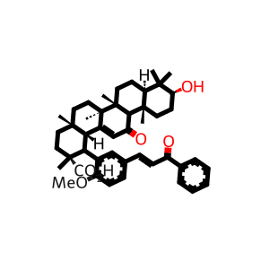 COc1ccc(/C=C/C(=O)c2ccccc2)cc1C1[C@H]2C3=CC(=O)C4[C@@]5(C)CC[C@H](O)C(C)(C)[C@@H]5CC[C@@]4(C)[C@]3(C)CC[C@@]2(C)CC[C@]1(C)C(=O)O